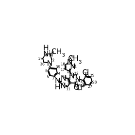 C[C@@H]1CN(c2ccc(Nc3ncc4c(n3)N(c3ccn(C)n3)CN(c3c(Cl)cccc3Cl)C4=O)cc2)CCN1